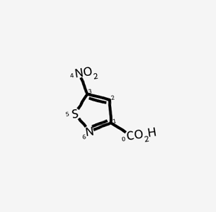 O=C(O)c1cc([N+](=O)[O-])sn1